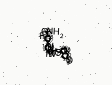 COc1ccc2c(OCc3nnc4ccc(-c5ccc(C(N)=O)c(F)c5)nn34)ccnc2c1